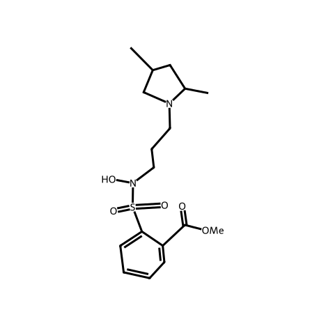 COC(=O)c1ccccc1S(=O)(=O)N(O)CCCN1CC(C)CC1C